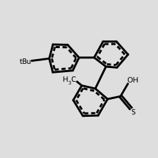 Cc1cccc(C(O)=S)c1-c1ccccc1-c1ccc(C(C)(C)C)cc1